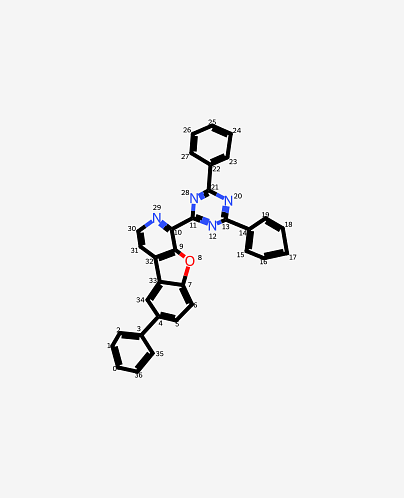 c1ccc(-c2ccc3oc4c(-c5nc(-c6ccccc6)nc(-c6ccccc6)n5)nccc4c3c2)cc1